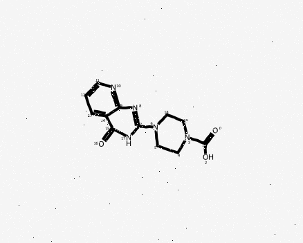 O=C(O)N1CCN(c2nc3ncccc3c(=O)[nH]2)CC1